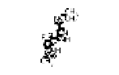 CCCS(=O)(=O)Nc1ccc(F)c(C(=O)c2c[nH]c3ncc(-c4cnn(CC(C)C)c4)cc23)c1F